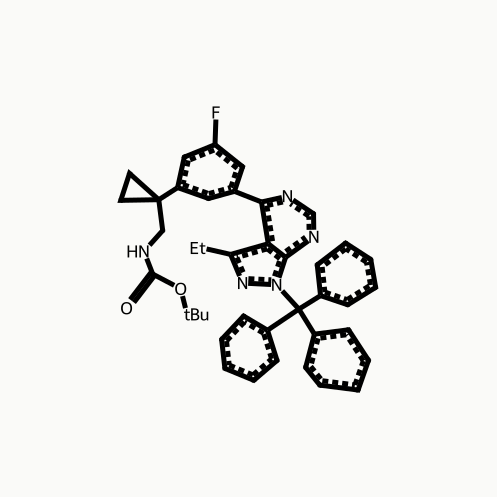 CCc1nn(C(c2ccccc2)(c2ccccc2)c2ccccc2)c2ncnc(-c3cc(F)cc(C4(CNC(=O)OC(C)(C)C)CC4)c3)c12